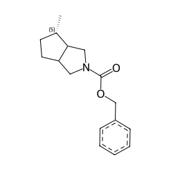 C[C@H]1CCC2CN(C(=O)OCc3ccccc3)CC21